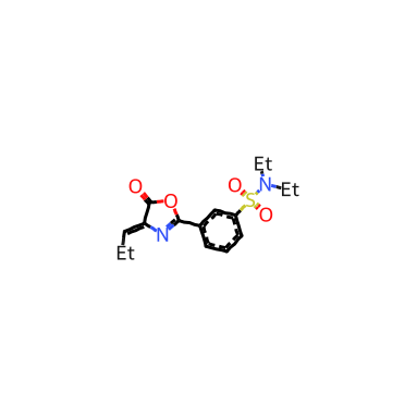 CC/C=C1\N=C(c2cccc(S(=O)(=O)N(CC)CC)c2)OC1=O